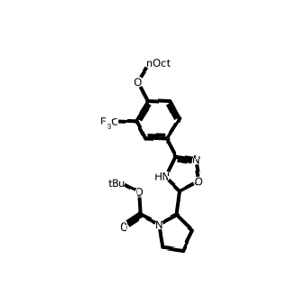 CCCCCCCCOc1ccc(C2=NOC(C3CCCN3C(=O)OC(C)(C)C)N2)cc1C(F)(F)F